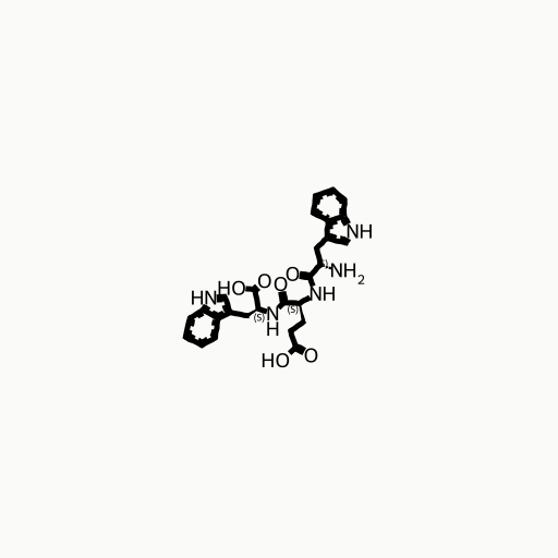 N[C@@H](Cc1c[nH]c2ccccc12)C(=O)N[C@@H](CCC(=O)O)C(=O)N[C@@H](Cc1c[nH]c2ccccc12)C(=O)O